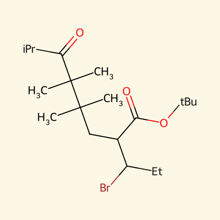 CCC(Br)C(CC(C)(C)C(C)(C)C(=O)C(C)C)C(=O)OC(C)(C)C